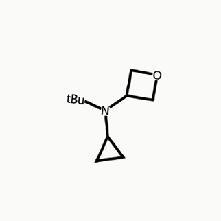 CC(C)(C)N(C1CC1)C1COC1